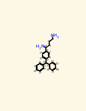 NCCCC(N)c1ccc([C](c2ccccc2)c2ccccc2)cc1